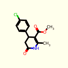 COC(=O)C1=C(C)NC(=O)CC1c1ccc(Cl)cc1